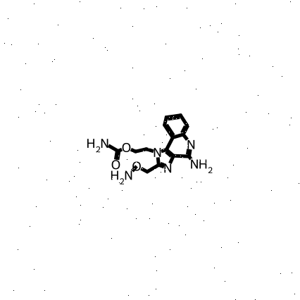 NOCc1nc2c(N)nc3ccccc3c2n1CCOC(N)=O